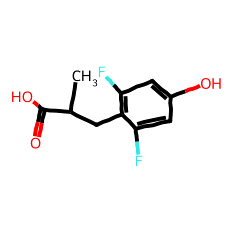 CC(Cc1c(F)cc(O)cc1F)C(=O)O